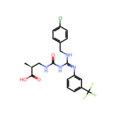 C[C@@H](CNC(=O)N/C(=N\c1cccc(C(F)(F)F)c1)NCc1ccc(Cl)cc1)C(=O)O